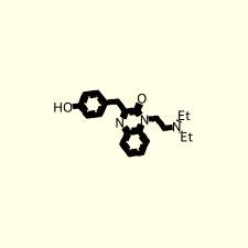 CCN(CC)CCn1c(=O)c(Cc2ccc(O)cc2)nc2ccccc21